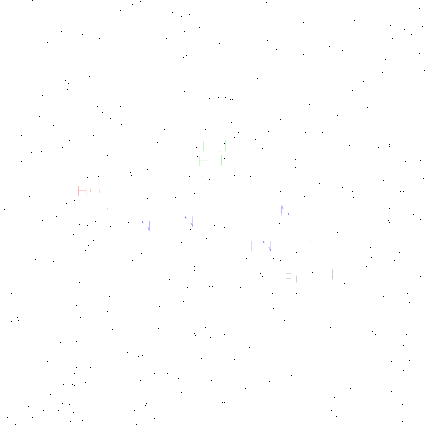 CCC(CC)Sc1nc2cc(Cl)c(N3CCN(CC(C)(C)O)CC3)cc2[nH]1.Cl.Cl